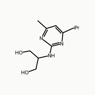 Cc1cc(C(C)C)nc(NC(CO)CO)n1